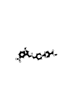 COC(=O)c1cnc(N2CCC(CNCc3cn(C)c4ccc([N+](=O)[O-])cc34)CC2)nc1